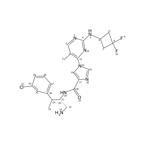 Cc1cnc(NC2CC(F)(F)C2)nc1-n1cnc(C(=O)N[C@H](CN)C(C)c2cccc(Cl)c2)c1